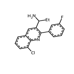 CCC(N)c1cc2cccc(Cl)c2nc1-c1cccc(F)c1